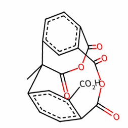 CC12C(=O)OC(=O)c3ccc1cc3C(=O)OC(=O)c1ccc2cc1C(=O)O